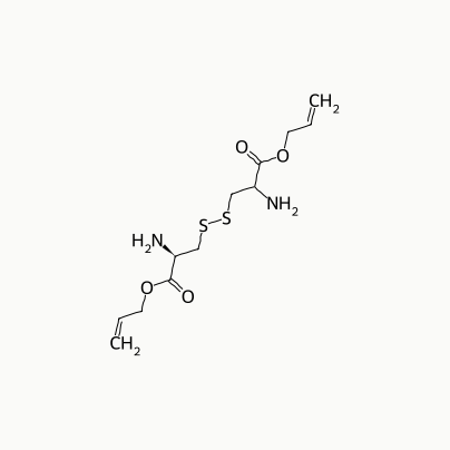 C=CCOC(=O)C(N)CSSC[C@H](N)C(=O)OCC=C